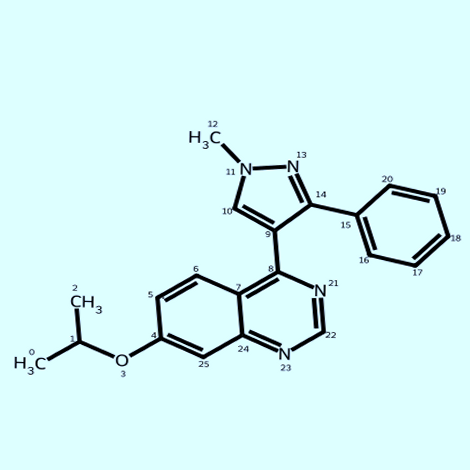 CC(C)Oc1[c]cc2c(-c3cn(C)nc3-c3ccccc3)ncnc2c1